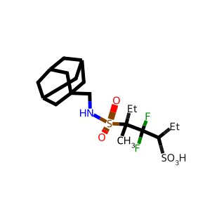 CCC(C(F)(F)C(C)(CC)S(=O)(=O)NCC12CC3CC(CC(C3)C1)C2)S(=O)(=O)O